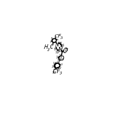 Cc1ccc(C(F)(F)F)cc1N1CCN(C(=O)C2C[C@@H](c3ccc(C(F)(F)F)cc3)O2)CC1